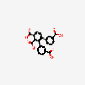 O=C(O)c1cccc(-c2ccc(C(=O)O)c(C(=O)O)c2-c2cccc(C(=O)O)c2)c1